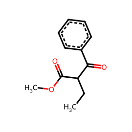 CCC(C(=O)OC)C(=O)c1ccccc1